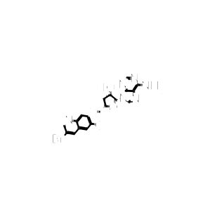 Nc1ncnc2c1ncn2[C@@H]1O[C@H](COc2cc3ncc(Br)cc3cc2Cl)C[C@H]1O